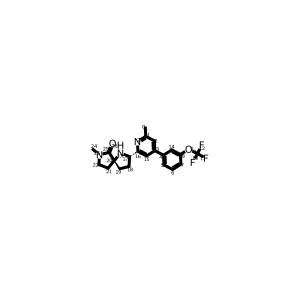 Cc1cc(-c2cccc(OC(F)(F)F)c2)cc([C@@H]2CC[C@]3(CCN(C)C3=O)N2)n1